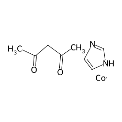 CC(=O)CC(C)=O.[Co].c1c[nH]cn1